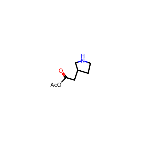 CC(=O)OC(=O)CC1CCNC1